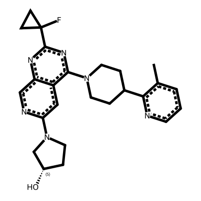 Cc1cccnc1C1CCN(c2nc(C3(F)CC3)nc3cnc(N4CC[C@H](O)C4)cc23)CC1